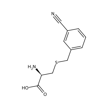 N#Cc1cccc(CSC[C@H](N)C(=O)O)c1